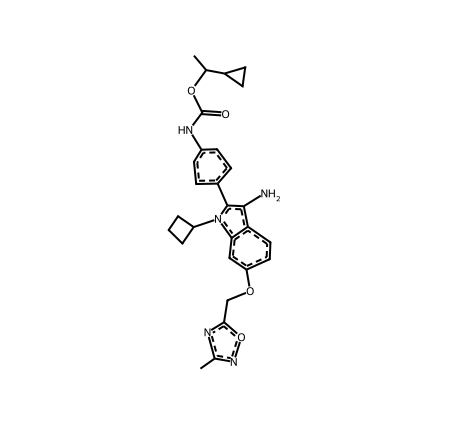 Cc1noc(COc2ccc3c(N)c(-c4ccc(NC(=O)OC(C)C5CC5)cc4)n(C4CCC4)c3c2)n1